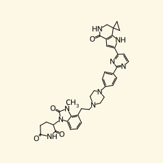 Cn1c(=O)n(C2CCC(=O)NC2=O)c2cccc(CCN3CCN(c4ccc(-c5nccc(-c6cc7c([nH]6)C6(CC6)CNC7=O)n5)cc4)CC3)c21